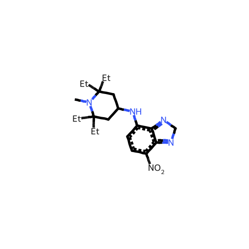 CCC1(CC)CC(Nc2ccc([N+](=O)[O-])c3c2=NCN=3)CC(CC)(CC)N1C